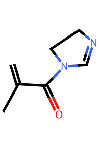 C=C(C)C(=O)N1C=NCC1